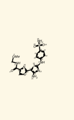 COCNC(=O)c1csc(-c2sc(Nc3ccc(S(N)(=O)=O)cc3)nc2N)n1